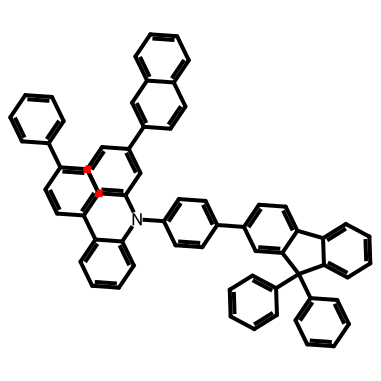 c1ccc(-c2ccc(-c3ccccc3N(c3ccc(-c4ccc5c(c4)C(c4ccccc4)(c4ccccc4)c4ccccc4-5)cc3)c3cccc(-c4ccc5ccccc5c4)c3)cc2)cc1